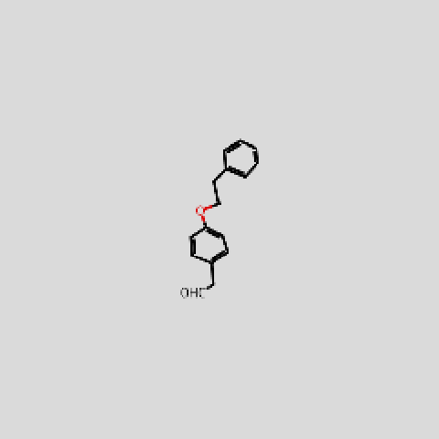 O=CCc1ccc(OCCc2ccccc2)cc1